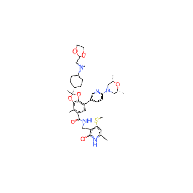 CSc1cc(C)[nH]c(=O)c1CNC(=O)c1cc(-c2ccc(N3C[C@@H](C)O[C@@H](C)C3)nc2)c2c(c1C)OC(C)([C@H]1CC[C@H](N(C)CC3OCCO3)CC1)O2